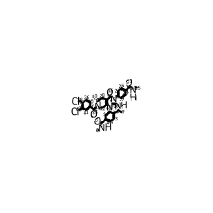 CNC(=O)c1ccc(C(C)Nc2nc3c(c(=O)n2-c2ccc(C(=O)NC)cc2)C[C@@H](C)N(C(=O)c2ccc(Cl)c(Cl)c2)C3)cc1